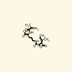 CC[C@H](C)[C@H]1C(=O)O[C@H]1C(=O)NCCC[C@H](NC(=O)[C@H](C)N)C(=O)O